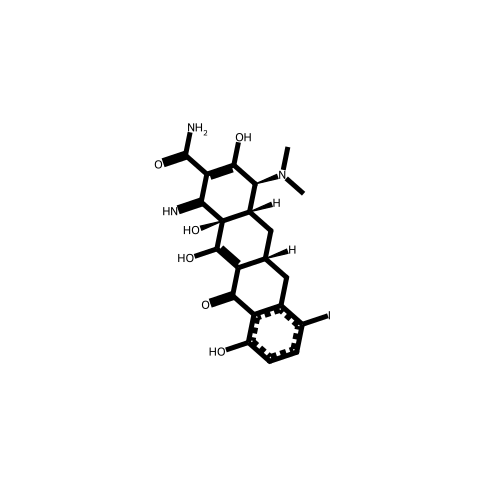 CN(C)[C@@H]1C(O)=C(C(N)=O)C(=N)[C@@]2(O)C(O)=C3C(=O)c4c(O)ccc(I)c4C[C@H]3C[C@@H]12